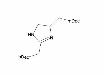 CCCCCCCCCCCC1=NC(CCCCCCCCCCC)CN1